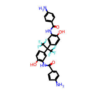 Nc1ccc(C(=O)Nc2cc(C(c3ccc(O)c(NC(=O)c4ccc(N)cc4)c3)(C(F)(F)F)C(F)(F)F)ccc2O)cc1